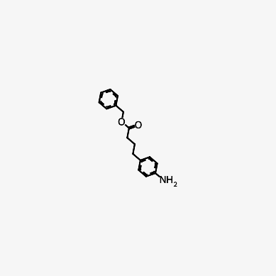 Nc1ccc(CCCC(=O)OCc2ccccc2)cc1